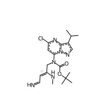 CN/C(=C\C=N)CN(C(=O)OC(C)(C)C)c1cc(Cl)nc2c(C(C)C)cnn12